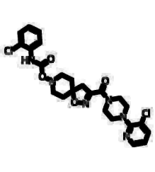 O=C(Nc1ccccc1Cl)ON1CCC2(CC1)CC(C(=O)N1CCN(c3ncccc3Cl)CC1)=NO2